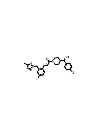 Cc1nnn(Cc2cc(Cl)ccc2/C=C/C(=O)N2CCC(C(O)c3ccc(Cl)cc3)CC2)n1